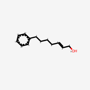 OCC=CCCCCc1ccccc1